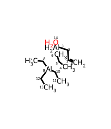 C=C[CH2][AlH2].CCC.C[CH2][Al]([CH2]C)[CH2]C.O